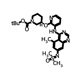 Cc1cc(N=S(C)(C)=O)cc2ncnc(Nc3cccnc3O[C@@H]3CCCN(C(=O)OC(C)(C)C)C3)c12